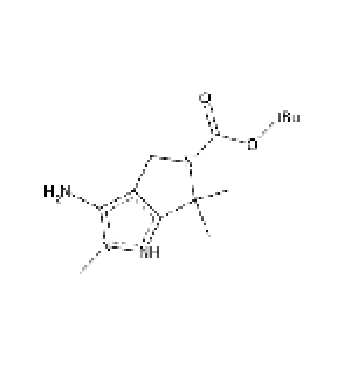 C[n+]1[nH]c2c(c1N)CN(C(=O)OC(C)(C)C)C2(C)C